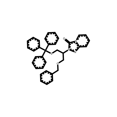 O=c1n(C(COCc2ccccc2)CSC(c2ccccc2)(c2ccccc2)c2ccccc2)nc2ccccn12